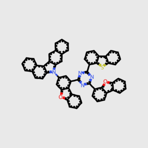 c1ccc2cc3c(cc2c1)c1c2ccccc2ccc1n3-c1cc(-c2nc(-c3cccc4c3oc3ccccc34)nc(-c3cccc4c3sc3ccccc34)n2)c2c(c1)oc1ccccc12